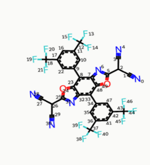 N#CC(C#N)c1nc2c(-c3cc(C(F)(F)F)cc(C(F)(F)F)c3)c3oc(C(C#N)C#N)nc3c(-c3cc(C(F)(F)F)cc(C(F)(F)F)c3)c2o1